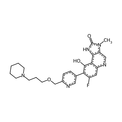 Cn1c(=O)[nH]c2c3c(O)c(-c4ccc(COCCCN5CCCCC5)nc4)c(F)cc3ncc21